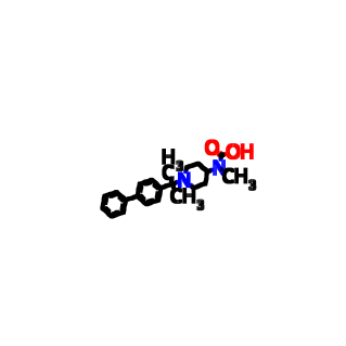 CN(C(=O)O)C1CCN(C(C)(C)c2ccc(-c3ccccc3)cc2)CC1